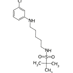 CC(C)(C)S(=O)(=O)NCCCCCNc1cccc(Cl)c1